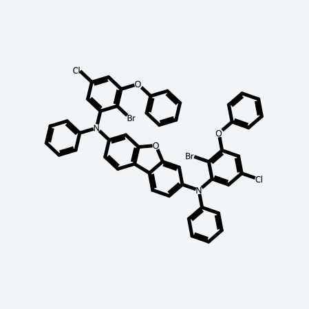 Clc1cc(Oc2ccccc2)c(Br)c(N(c2ccccc2)c2ccc3c(c2)oc2cc(N(c4ccccc4)c4cc(Cl)cc(Oc5ccccc5)c4Br)ccc23)c1